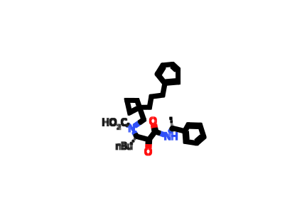 CCCC[C@@H](C(=O)C(=O)N[C@H](C)c1ccccc1)N(CC1(CCCc2ccccc2)CCC1)C(=O)O